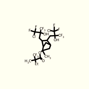 CCC(C)(C(=O)OC1(C)CC2CC1C(CC(O)(C(F)(F)F)C(F)(F)Cl)C2CC(O)(C(F)(F)F)C(F)(F)Cl)C(F)(F)F